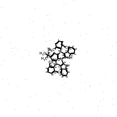 Cc1cccc(C)c1B1c2cc(C(C)(C)C)cc3c2N(c2[nH]c4ccccc4c21)c1[nH]c2ccccc2c1B3c1c(C)cccc1C